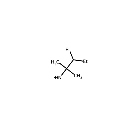 CCC(CC)C(C)(C)[NH]